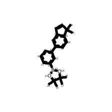 CC1(C)C=Cc2cc(-c3cccc(B4OC(C)(C)C(C)(C)O4)c3)ccc21